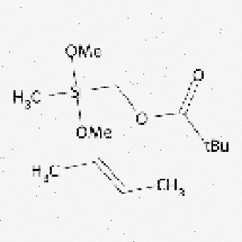 CC=CC.CO[Si](C)(COC(=O)C(C)(C)C)OC